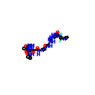 CN[C@@H](C)C(=O)N[C@H](C(=O)N1C[C@@H](NC(=O)CCC(=O)NCCN2CCN(CC(=O)NCCCNc3cc(N4CCC5(CC4)CN(c4cc(F)c(CN6CCC(C)(C)CC6)cc4F)CC(=O)N5)ncn3)CC2)C[C@H]1C(=O)NC1CCCc2ccccc21)C1CCCCC1